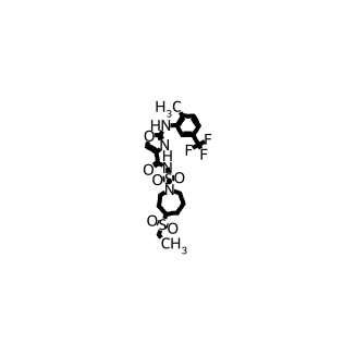 CCS(=O)(=O)C1CCCN(S(=O)(=O)NC(=O)c2coc(Nc3cc(C(F)(F)F)ccc3C)n2)CC1